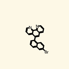 Brc1ccc2c(-c3cc4cccnc4c4ncccc34)cccc2c1